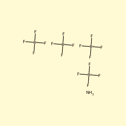 F[B-](F)(F)F.F[B-](F)(F)F.F[B-](F)(F)F.F[B-](F)(F)F.N